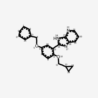 c1ccc(COc2ccc(OCC3CC3)c(-c3nc4cccnc4[nH]3)c2)cc1